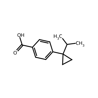 CC(C)C1(c2ccc(C(=O)O)cc2)CC1